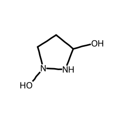 OC1CCN(O)N1